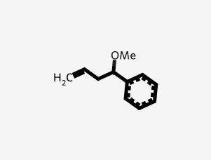 C=CC[C](OC)c1ccccc1